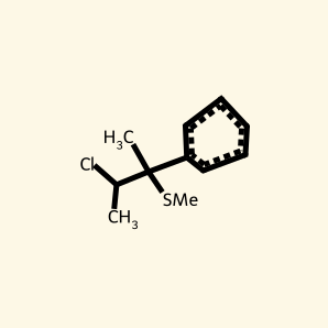 CSC(C)(c1ccccc1)C(C)Cl